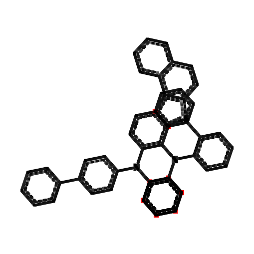 c1ccc(-c2ccc(N(c3ccccc3)c3ccc4c(sc5ccc6ccccc6c54)c3N(c3ccccc3)c3ccccc3-c3ccccc3)cc2)cc1